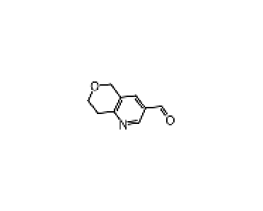 O=Cc1cnc2c(c1)COCC2